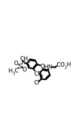 CN(c1ccc(Oc2cc(Cl)ccc2NCC(=O)O)c(C(F)(F)F)c1)S(C)(=O)=O